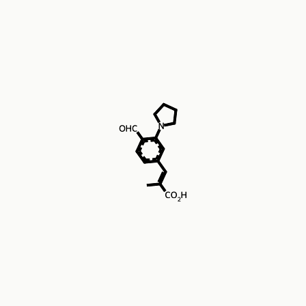 CC(=Cc1ccc(C=O)c(N2CCCC2)c1)C(=O)O